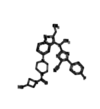 CCc1nn2ccc(N3CCN(C(=O)N4CC(O)C4)CC3)cc2c1N(C)c1nc(-c2ccc(F)cc2)c(C#N)s1